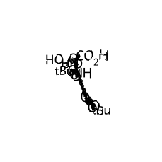 CC(C)(C)OC(=O)c1ccc(OCCCCCCCCCC(=O)N[C@@H](CCC(=O)N[C@@H](CCC(=O)O)C(=O)O)C(=O)OC(C)(C)C)cc1